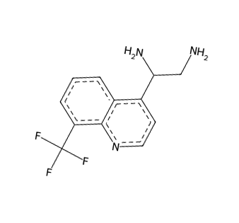 NCC(N)c1ccnc2c(C(F)(F)F)cccc12